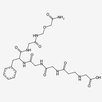 NC(=O)COCNC(=O)CNC(=O)C(Cc1ccccc1)NC(=O)CNC(=O)CNC(=O)CCNCC(=O)O